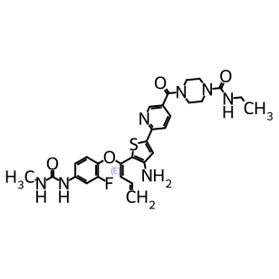 C=C/C=C(/Oc1ccc(NC(=O)NC)cc1F)c1sc(-c2ccc(C(=O)N3CCN(C(=O)NCC)CC3)cn2)cc1N